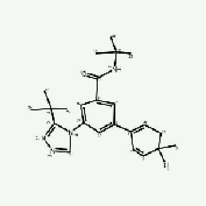 CC1(Cl)C=CC(c2cc(C(=O)NC(C)(C)C)cc(-n3cnnc3C(C)(C)C)c2)=CC1